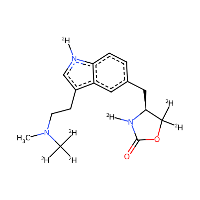 [2H]N1C(=O)OC([2H])([2H])[C@@H]1Cc1ccc2c(c1)c(CCN(C)C([2H])([2H])[2H])cn2[2H]